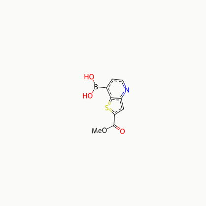 COC(=O)c1cc2nccc(B(O)O)c2s1